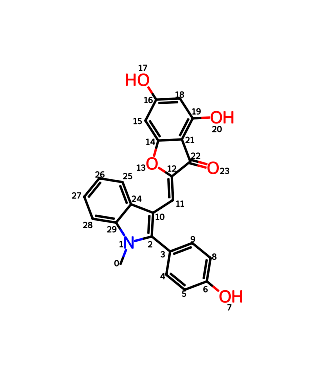 Cn1c(-c2ccc(O)cc2)c(/C=C2\Oc3cc(O)cc(O)c3C2=O)c2ccccc21